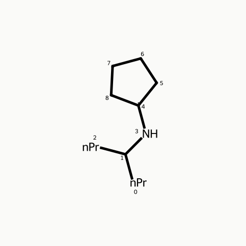 CCCC(CCC)N[C]1CCCC1